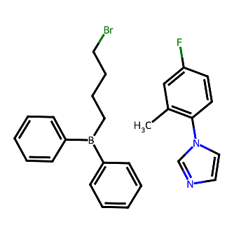 BrCCCCB(c1ccccc1)c1ccccc1.Cc1cc(F)ccc1-n1ccnc1